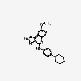 COc1ccc2nc(Nc3ccc(N4CCCCC4)cc3)c3n[nH]cc3c2c1